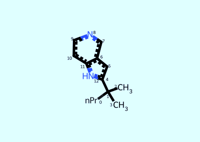 CCCC(C)(C)c1cc2cnccc2[nH]1